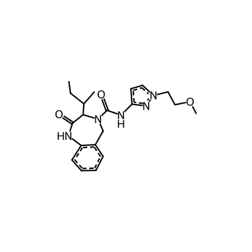 CCC(C)C1C(=O)Nc2ccccc2CN1C(=O)Nc1ccn(CCOC)n1